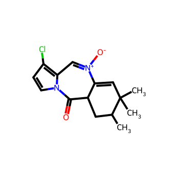 CC1CC2C(=O)n3ccc(Cl)c3C=[N+]([O-])C2=CC1(C)C